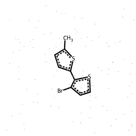 Cc1ccc(-c2sccc2Br)s1